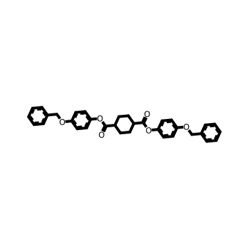 O=C(Oc1ccc(OCc2ccccc2)cc1)C1CCC(C(=O)Oc2ccc(OCc3ccccc3)cc2)CC1